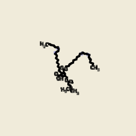 CCCCC/C=C\C/C=C\CCCCCCCCOC(=O)c1cc(COC(=O)CCN(C)C)cc(C(=O)O)c1CCCCCCCC/C=C\C/C=C\CCCCC